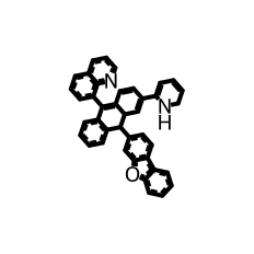 C1=CCNC(C2=CC3C(=C(c4cccc5cccnc45)c4ccccc4C3c3ccc4c(c3)oc3ccccc34)C=C2)=C1